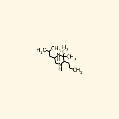 CCCC1NCC(CC(C)C)NC1(C)C